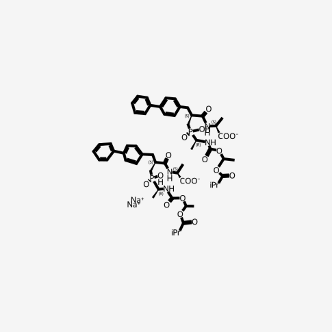 CC(OC(=O)N[C@@H](C)P(=O)(O)C[C@@H](Cc1ccc(-c2ccccc2)cc1)C(=O)N[C@@H](C)C(=O)[O-])OC(=O)C(C)C.CC(OC(=O)N[C@@H](C)P(=O)(O)C[C@@H](Cc1ccc(-c2ccccc2)cc1)C(=O)N[C@@H](C)C(=O)[O-])OC(=O)C(C)C.[Na+].[Na+]